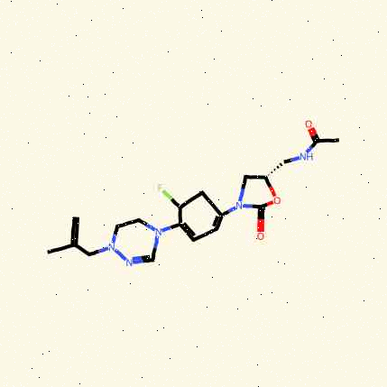 C=C(C)CN1CCN(C2=CC=C(N3C[C@H](CNC(C)=O)OC3=O)CC2F)C=N1